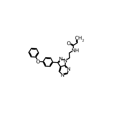 C=CC(=O)NCCn1nc(-c2ccc(Oc3ccccc3)cc2)c2cncnc21